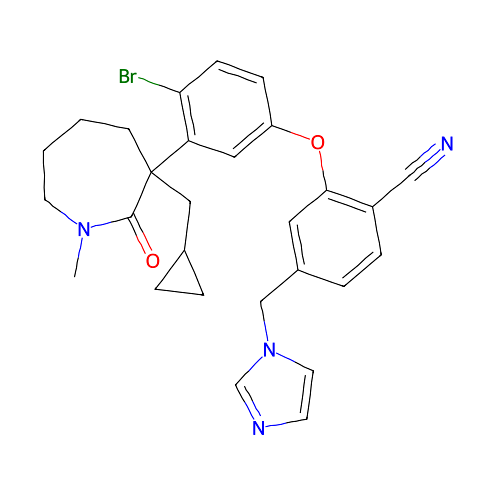 CN1CCCCC(CC2CC2)(c2cc(Oc3cc(Cn4ccnc4)ccc3C#N)ccc2Br)C1=O